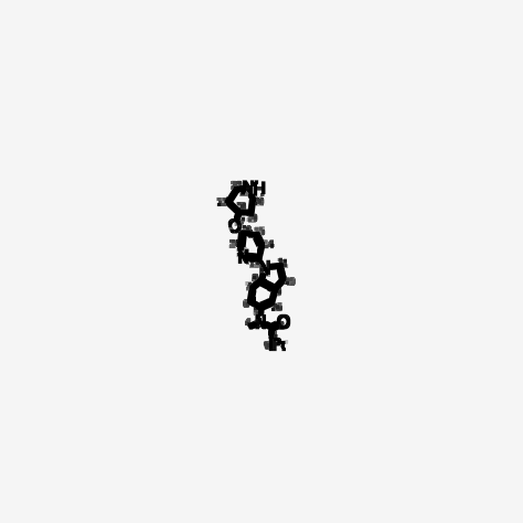 CC(C)C(=O)N(C)c1ccc2c(ccn2-c2ccc(OC3CCNCC3)cn2)c1